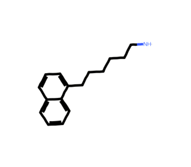 [NH]CCCCCCc1cccc2ccccc12